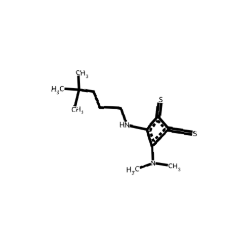 CN(C)c1c(NCCCC(C)(C)C)c(=S)c1=S